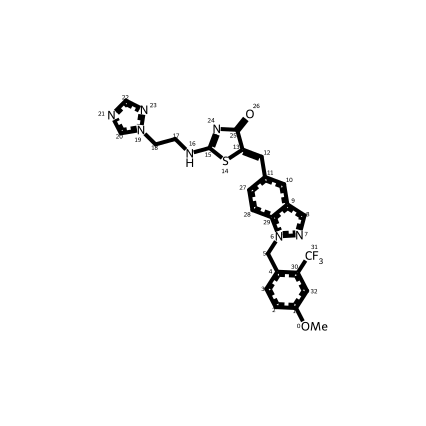 COc1ccc(Cn2ncc3cc(/C=C4\SC(NCCn5cncn5)=NC4=O)ccc32)c(C(F)(F)F)c1